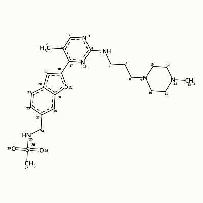 Cc1cnc(NCCCN2CCN(C)CC2)nc1-c1cc2ccc(CNS(C)(=O)=O)cc2s1